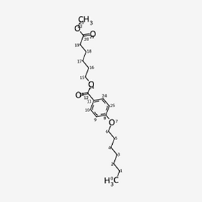 CCCCCCCOc1ccc(C(=O)OCCCCCC(=O)OC)cc1